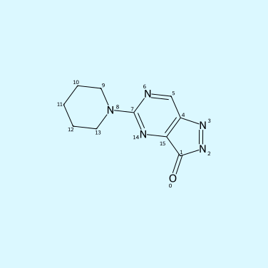 O=C1N=Nc2cnc(N3CCCCC3)nc21